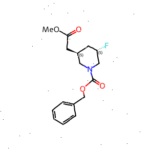 COC(=O)C[C@H]1C[C@H](F)CN(C(=O)OCc2ccccc2)C1